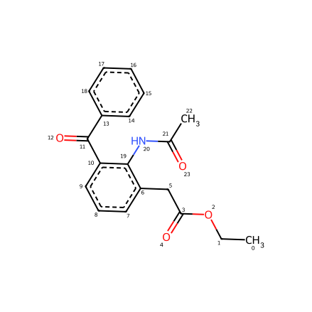 CCOC(=O)Cc1cccc(C(=O)c2ccccc2)c1NC(C)=O